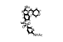 CC(=O)Nc1ccc(S(=O)(=O)N(C)c2ccc3c(c2)nc(C(C)(C)C)n3CC2CCOCC2)cn1